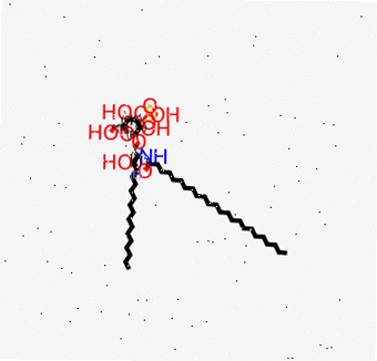 CCCCCCCCCCCCC/C=C/[C@@H](O)[C@H](CO[C@@H]1O[C@H](CO)[C@H](O)[C@H](OS(=O)(=O)O)[C@H]1O)NC(=O)CCCCCCCCCCCCCCCCCCCCCCC